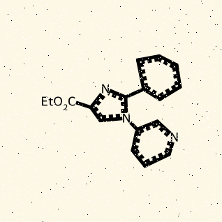 CCOC(=O)c1cn(-c2cccnc2)c(-c2ccccc2)n1